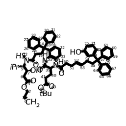 C=CCOC(=O)C[C@H](O)[C@@H](C(C)C)N(S)C(=O)CCC(c1ccccc1)(c1ccccc1)c1ccccc1NC(=O)C(CCC(=O)OC(C)(C)C)N(S)C(=O)CCC=CCCC(c1ccccc1)(c1ccccc1)c1cccc(O)c1